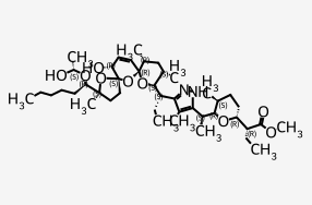 CCCCC[C@@H](O[C@@H](C)O)[C@]1(C)CC[C@@]2(O[C@]3(C=C[C@H]2O)O[C@H]([C@@H](CC)c2n[nH]c([C@H](C)[C@@H]4O[C@@H]([C@@H](CC)C(=O)OC)CC[C@@H]4C)c2C)[C@@H](C)C[C@H]3C)O1